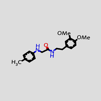 COc1ccc(CCNC(=O)CNc2ccc(C)cc2)cc1OC